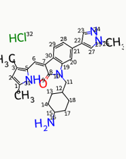 Cc1cc(C)c(/C=C2\C(=O)N(CC3CCC(N)CC3)c3cc(-c4cnn(C)c4)ccc32)[nH]1.Cl